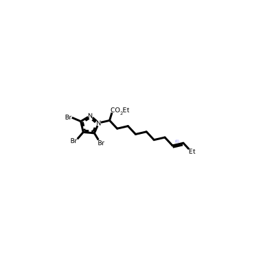 CC/C=C/CCCCCCC(C(=O)OCC)n1nc(Br)c(Br)c1Br